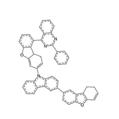 C1=Cc2oc3ccc(-c4ccc5c(c4)c4ccccc4n5C4=CCC5C(=C4)Oc4cccc(-c6nc(-c7ccccc7)nc7ccccc67)c45)cc3c2CC1